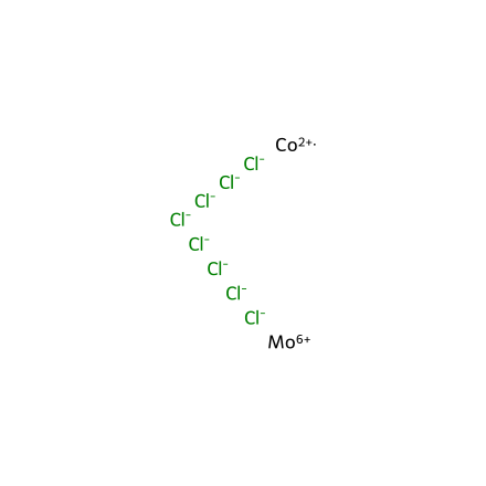 [Cl-].[Cl-].[Cl-].[Cl-].[Cl-].[Cl-].[Cl-].[Cl-].[Co+2].[Mo+6]